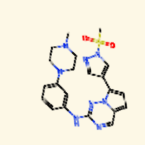 CN1CCN(c2cccc(Nc3ncc4ccc(-c5cnn(S(C)(=O)=O)c5)n4n3)c2)CC1